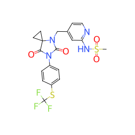 CS(=O)(=O)Nc1cc(CN2C(=O)N(c3ccc(SC(F)(F)F)cc3)C(=O)C23CC3)ccn1